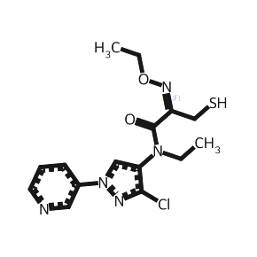 CCO/N=C(/CS)C(=O)N(CC)c1cn(-c2cccnc2)nc1Cl